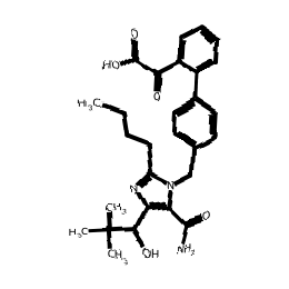 CCCCc1nc(C(O)C(C)(C)C)c(C(N)=O)n1Cc1ccc(-c2ccccc2C(=O)C(=O)O)cc1